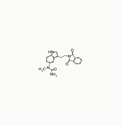 CN(C(N)=O)c1ccc2[nH]cc(CCN3C(=O)c4ccccc4C3=O)c2c1